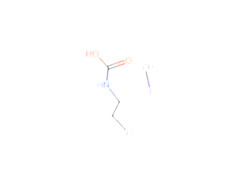 CCCNC(=O)O.CI